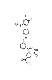 CSc1cc(F)c(F)cc1-c1ccc(OCc2cccc(C(=O)N3C[C@H](C(N)=O)C[C@H]3C(=O)O)c2)cc1